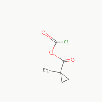 CCC1(C(=O)OC(=O)Cl)CC1